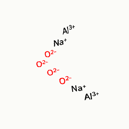 [Al+3].[Al+3].[Na+].[Na+].[O-2].[O-2].[O-2].[O-2]